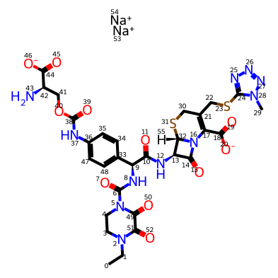 CCN1CCN(C(=O)N[C@H](C(=O)N[C@@H]2C(=O)N3C(C(=O)[O-])=C(CSc4nnnn4C)CS[C@@H]23)c2ccc(NC(=O)OC[C@@H](N)C(=O)[O-])cc2)C(=O)C1=O.[Na+].[Na+]